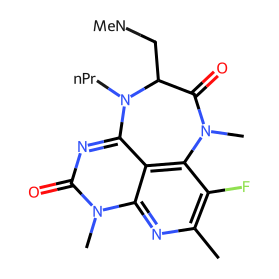 CCCN1c2nc(=O)n(C)c3nc(C)c(F)c(c23)N(C)C(=O)C1CNC